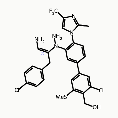 CSc1cc(-c2ccc(-n3cc(C(F)(F)F)nc3C)c(N(N)/C(=C\N)Cc3ccc(Cl)cc3)c2)cc(Cl)c1CO